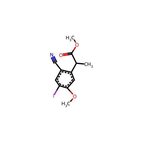 COC(=O)C(C)c1cc(OC)c(I)cc1C#N